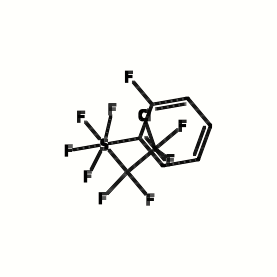 Fc1ccccc1S(F)(F)(F)(F)C(F)(F)C(F)(F)Cl